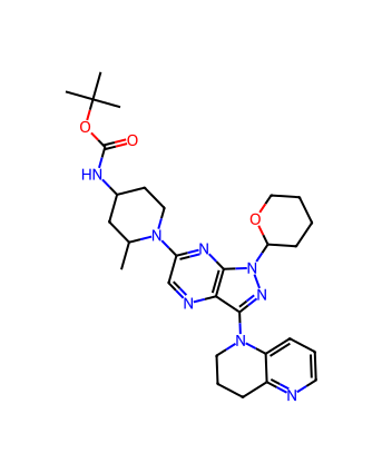 CC1CC(NC(=O)OC(C)(C)C)CCN1c1cnc2c(N3CCCc4ncccc43)nn(C3CCCCO3)c2n1